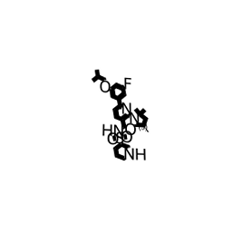 CC(C)COc1cc(F)cc(-c2ccc(C(=O)NS(=O)(=O)C3CCCNC3)c(N3C[C@@H](C)CC3(C)C)n2)c1